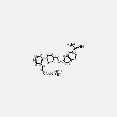 Cl.Cl.N=C(N)N1CCc2ccc(OCC3CCN(c4ccncc4CCC(=O)O)CC3)cc2C1